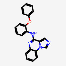 c1ccc(Oc2ccccc2Nc2nc3ccccc3n3cncc23)cc1